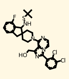 CC(C)(C)SNC1c2c(F)cccc2CC12CCN(c1nccn3c(-c4cccc(Cl)c4Cl)nc(CO)c13)CC2